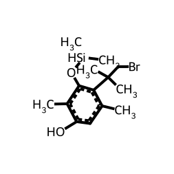 Cc1cc(O)c(C)c(O[SiH](C)C)c1C(C)(C)CBr